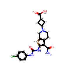 NC(=O)c1c(NC(=O)Nc2ccc(Cl)cc2)sc2c1CCN(C1CC(C(=O)O)C1)C2